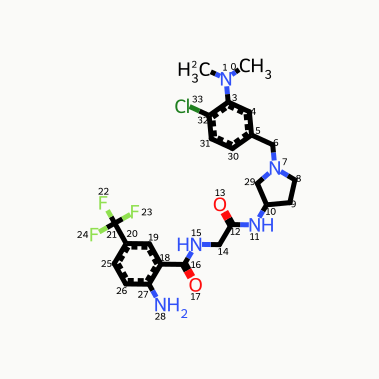 CN(C)c1cc(CN2CCC(NC(=O)CNC(=O)c3cc(C(F)(F)F)ccc3N)C2)ccc1Cl